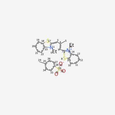 CCN1C(=CC(C)=Cc2sc3ccccc3[n+]2CC)Sc2ccccc21.Cc1ccc(S(=O)(=O)[O-])cc1